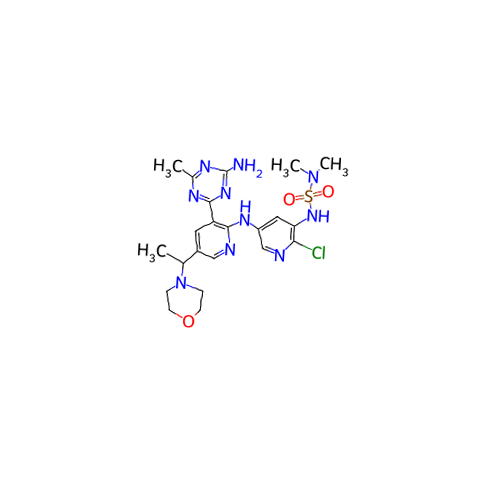 Cc1nc(N)nc(-c2cc(C(C)N3CCOCC3)cnc2Nc2cnc(Cl)c(NS(=O)(=O)N(C)C)c2)n1